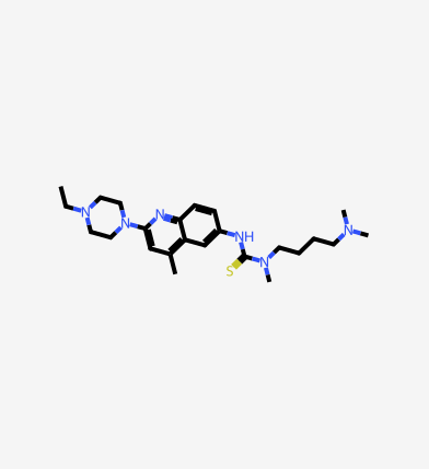 CCN1CCN(c2cc(C)c3cc(NC(=S)N(C)CCCCN(C)C)ccc3n2)CC1